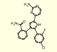 NC(=O)c1ccccc1-c1cc(-c2ccnc(N)n2)[nH]c1-c1ccc(Cl)cc1F